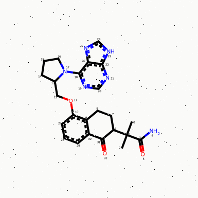 CC(C)(C(N)=O)C1CCc2c(OCC3CCCN3c3ncnc4[nH]cnc34)cccc2C1=O